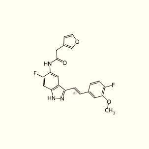 COc1cc(/C=C/c2n[nH]c3cc(F)c(NC(=O)Cc4ccoc4)cc23)ccc1F